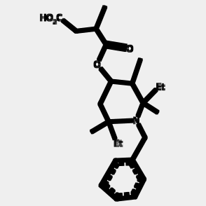 CCC1(C)CC(OC(=O)C(C)CC(=O)O)C(C)C(C)(CC)N1Cc1ccccc1